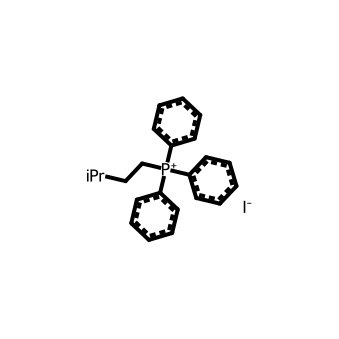 CC(C)CC[P+](c1ccccc1)(c1ccccc1)c1ccccc1.[I-]